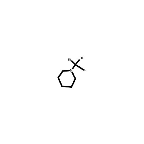 [CH2]C(O)(CC)N1CCCCC1